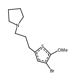 COc1sc(CCCN2CCCC2)cc1Br